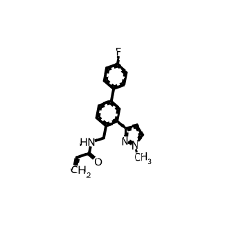 C=CC(=O)NCc1ccc(-c2ccc(F)cc2)cc1-c1ccn(C)n1